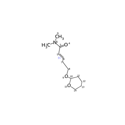 CN(C)C(=O)/C=C/CCOC1CCCCO1